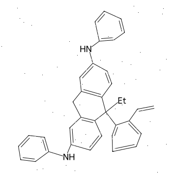 C=Cc1ccccc1C1(CC)c2ccc(Nc3ccccc3)cc2Cc2cc(Nc3ccccc3)ccc21